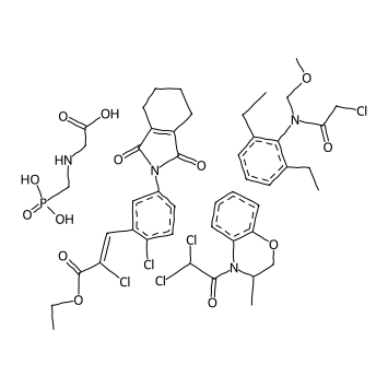 CC1COc2ccccc2N1C(=O)C(Cl)Cl.CCOC(=O)/C(Cl)=C/c1cc(N2C(=O)C3=C(CCCC3)C2=O)ccc1Cl.CCc1cccc(CC)c1N(COC)C(=O)CCl.O=C(O)CNCP(=O)(O)O